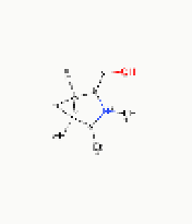 CCC1[C@H]2C[C@H]2C(CO)N1C